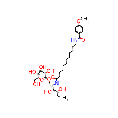 CC[C@@H](O)[C@@H](O)[C@H](CO[C@H]1OC(CO)[C@H](O)[C@H](O)C1O)NC(=O)CCCCCCCCCCCNC(=O)c1ccc(OC)cc1